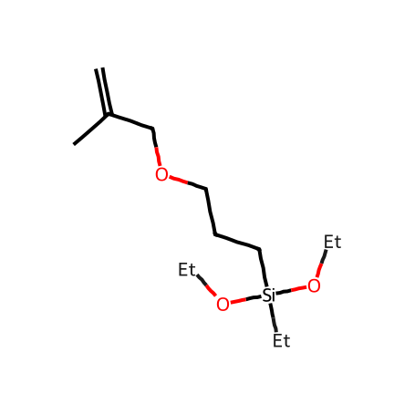 C=C(C)COCCC[Si](CC)(OCC)OCC